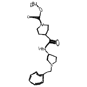 CC(C)(C)OC(=O)N1CCC(C(=O)N[C@H]2CCN(Cc3ccccc3)C2)CC1